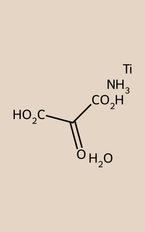 N.O.O=C(O)C(=O)C(=O)O.[Ti]